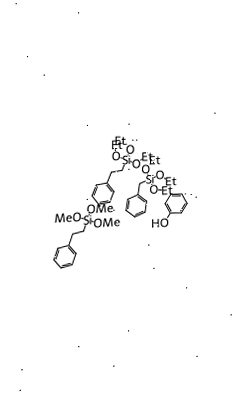 CCO[Si](CCc1ccccc1)(OCC)OCC.CCO[Si](Cc1ccccc1)(OCC)OCC.CO[Si](CCc1ccccc1)(OC)OC.Oc1cc[c]cc1